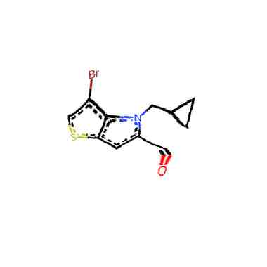 O=Cc1cc2scc(Br)c2n1CC1CC1